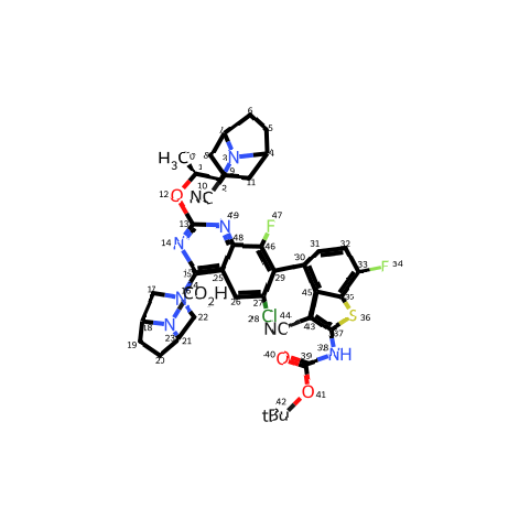 C[C@@H](CN1C2CCC1CC(C#N)C2)Oc1nc(N2CC3CCC(C2)N3C(=O)O)c2cc(Cl)c(-c3ccc(F)c4sc(NC(=O)OC(C)(C)C)c(C#N)c34)c(F)c2n1